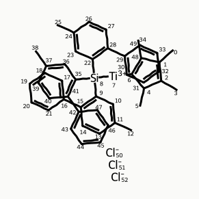 CC1=C(C)C(C)[C]([Ti+3][Si](c2cc(C)ccc2-c2ccccc2)(c2cc(C)ccc2-c2ccccc2)c2cc(C)ccc2-c2ccccc2)=C1C.[Cl-].[Cl-].[Cl-]